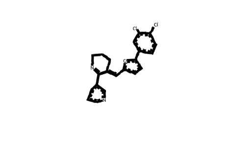 Clc1ccc(-c2ccc(C=C3CCCN=C3c3cccnc3)o2)cc1Cl